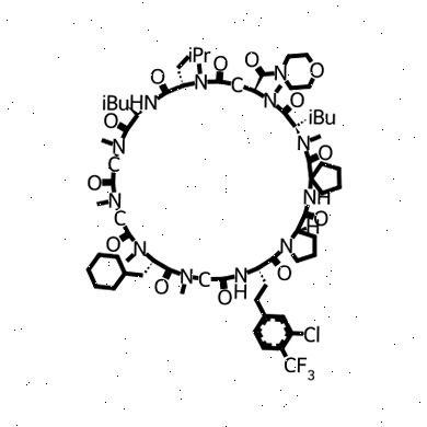 CC[C@H](C)[C@@H]1NC(=O)[C@H](CC(C)C)N(C)C(=O)C[C@@H](C(=O)N2CCOCC2)N(C)C(=O)[C@H]([C@@H](C)CC)N(C)C(=O)C2(CCCC2)NC(=O)[C@@H]2CCCN2C(=O)[C@H](CCc2ccc(C(F)(F)F)c(Cl)c2)NC(=O)CN(C)C(=O)[C@H](CC2CCCCC2)N(C)C(=O)CN(C)C(=O)CN(C)C1=O